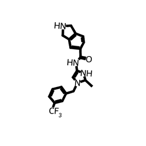 CC1NC(NC(=O)c2ccc3c(c2)CNC3)=CN1Cc1cccc(C(F)(F)F)c1